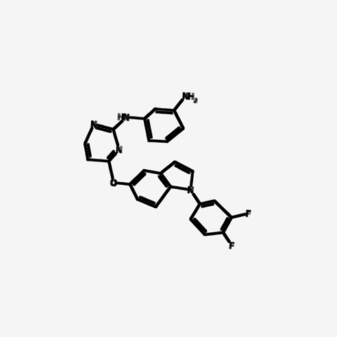 Nc1cccc(Nc2nccc(Oc3ccc4c(ccn4-c4ccc(F)c(F)c4)c3)n2)c1